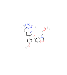 CC[C@H](C[C@H]1C[C@H](c2ccc(OC)cc2)[C@@H](OCc2ccc3c(c2)N(CCCOC)CCO3)CN1)c1nnn(C)n1